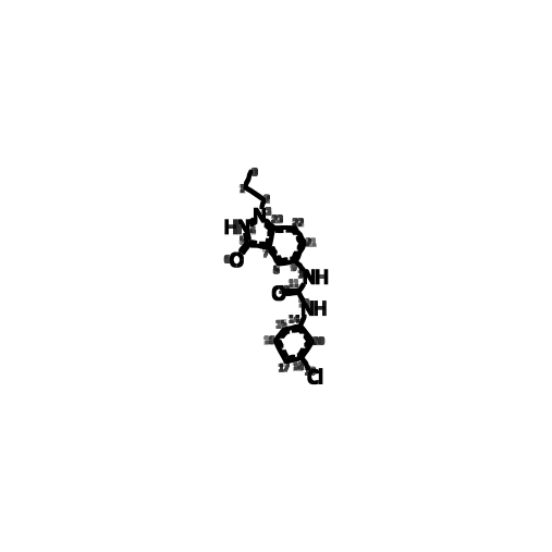 CCCn1[nH]c(=O)c2cc(NC(=O)Nc3cccc(Cl)c3)ccc21